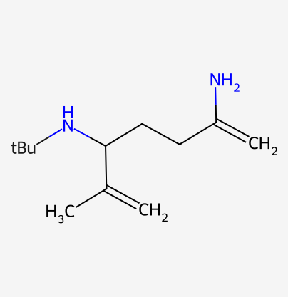 C=C(N)CCC(NC(C)(C)C)C(=C)C